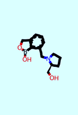 OC[C@@H]1CCCN1Cc1cccc2c1B(O)OC2